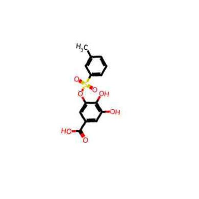 Cc1cccc(S(=O)(=O)Oc2cc(C(=O)O)cc(O)c2O)c1